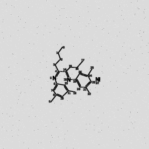 CCCCC(=Nc1cc(C)cc(C)c1)C(CCC)=Nc1cc(C)cc(C)c1.[Ni]